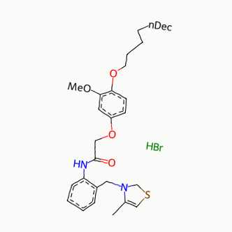 Br.CCCCCCCCCCCCCCOc1ccc(OCC(=O)Nc2ccccc2CN2CSC=C2C)cc1OC